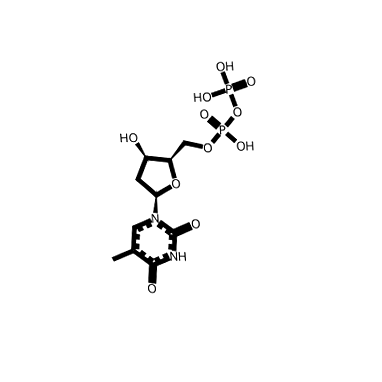 Cc1cn([C@H]2C[C@@H](O)[C@@H](COP(=O)(O)OP(=O)(O)O)O2)c(=O)[nH]c1=O